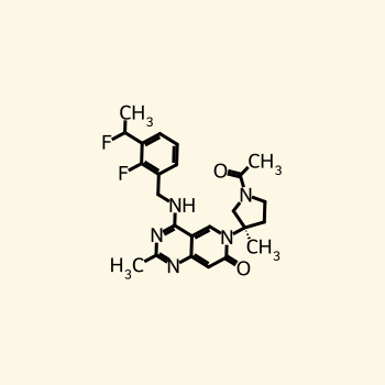 CC(=O)N1CC[C@@](C)(n2cc3c(NCc4cccc(C(C)F)c4F)nc(C)nc3cc2=O)C1